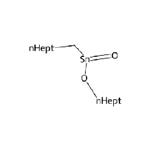 CCCCCCC[CH2][Sn](=[O])[O]CCCCCCC